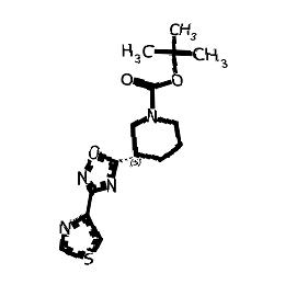 CC(C)(C)OC(=O)N1CCC[C@H](c2nc(-c3cscn3)no2)C1